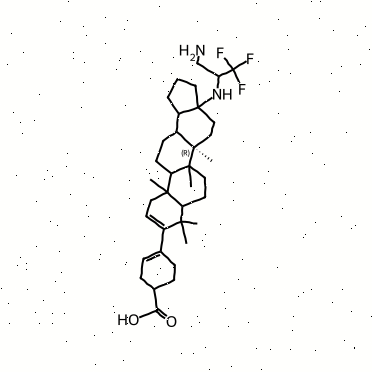 CC1(C)C(C2=CCC(C(=O)O)CC2)=CCC2(C)C1CCC1(C)C2CCC2C3CCCC3(NC(CN)C(F)(F)F)CC[C@]21C